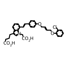 O=C(O)CCCc1cn(CC(=O)O)c2c(C=Cc3ccc(OCC=CCOc4ccccc4Cl)cc3)cccc12